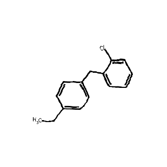 CCc1ccc(Cc2ccccc2Cl)cc1